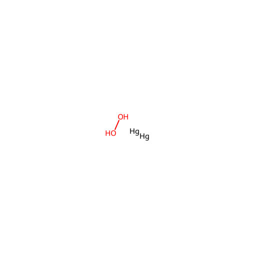 OO.[Hg].[Hg]